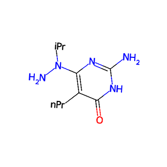 CCCc1c(N(N)C(C)C)nc(N)[nH]c1=O